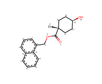 CC[C@]1(C(=O)OCc2cccc3ccccc23)CC[C@H](O)CC1